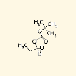 CCC1(OC(=O)OC(C)(C)C)OO1